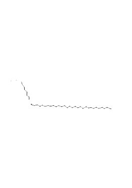 CCCCCCCCCCCCCCCCCCCCCCCCCCCCCCCCCCCCCCCC(=O)OCCCCCCCCCCCCCCCCCC